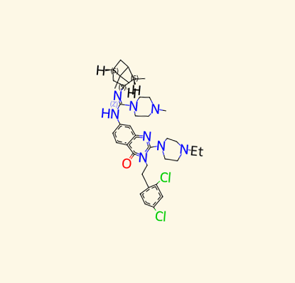 CCN1CCN(c2nc3cc(N/C(=N/[C@H]4C[C@@H]5CC([C@@H]4C)C5(C)C)N4CCN(C)CC4)ccc3c(=O)n2CCc2ccc(Cl)cc2Cl)CC1